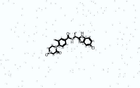 Cc1cc(C(=O)N[C@@H](C)c2nc3cc(Cl)ccc3[nH]2)ccc1N1CC[S+]([O-])CC1=O